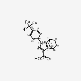 O=C(O)c1nn(-c2ccc(C(F)(F)F)cc2)c2c1C1CCC2CC1